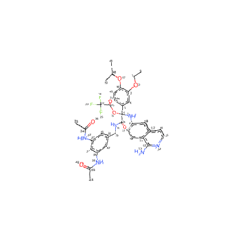 CCOc1cc(C(Nc2ccc3c(N)nccc3c2)(OC(=O)C(F)(F)F)C(=O)NCc2cc(NC(C)=O)cc(NC(C)=O)c2)ccc1OC(C)C